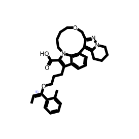 C/C=C(/OCCCc1c(C(=O)O)n2c3c(cccc13)-c1c(nn3c1CCCC3)COCCCC2)c1ccccc1C